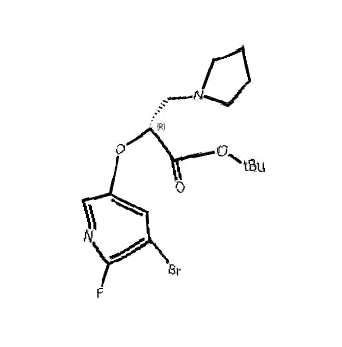 CC(C)(C)OC(=O)[C@@H](CN1CCCC1)Oc1cnc(F)c(Br)c1